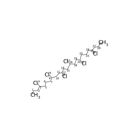 CCCC(Cl)CCCC(Cl)CCC(Cl)CCC(Cl)CCC(Cl)CCCC(Cl)CCC